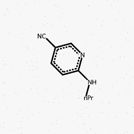 [CH2]CCNc1ccc(C#N)cn1